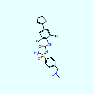 CC(C)c1cc(C2=CCCC2)cc(C(C)C)c1NC(=O)N=S(N)(=O)c1ccc(CN(C)C)cc1